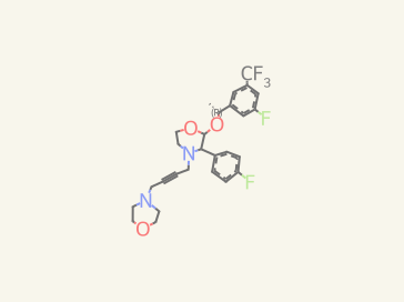 C[C@@H](OC1OCCN(CC#CCN2CCOCC2)C1c1ccc(F)cc1)c1cc(F)cc(C(F)(F)F)c1